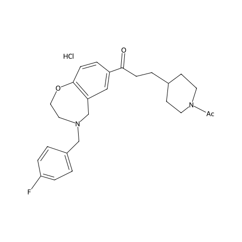 CC(=O)N1CCC(CCC(=O)c2ccc3c(c2)CN(Cc2ccc(F)cc2)CCO3)CC1.Cl